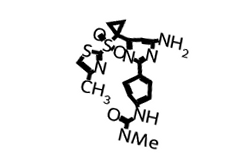 CNC(=O)Nc1ccc(-c2nc(N)cc(C3(S(=O)(=O)c4nc(C)cs4)CC3)n2)cc1